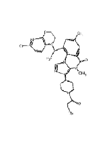 Cc1cc(C(C)N2CCOc3nc(Cl)ccc32)c2c(c1)c(=O)n(C)c1c(C3CCN(C(=O)CO)CC3)ncn21